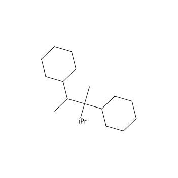 CC(C)C(C)(C1CCCCC1)C(C)C1CCCCC1